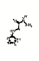 CC(C)N(N)C(=O)CNc1nnn[nH]1